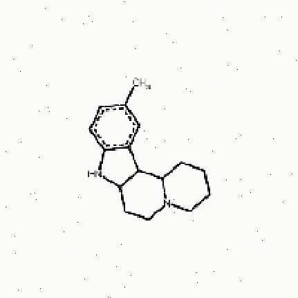 Cc1ccc2c(c1)C1C(CCN3CCCCC13)N2